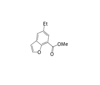 CCc1cc(C(=O)OC)c2occc2c1